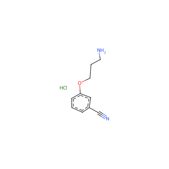 Cl.N#Cc1cccc(OCCCN)c1